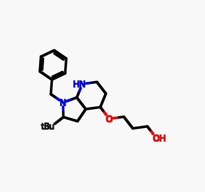 CC(C)(C)C1CC2C(OCCCO)CCNC2N1Cc1ccccc1